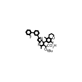 Cc1nc2cc(-c3cccc(-c4ccccc4F)c3)nn2c(-c2cc(F)c3c(c2C)CCCO3)c1[C@H](OC(C)(C)C)C(=O)O